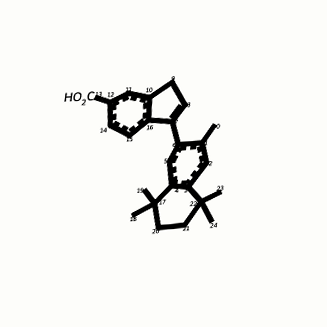 Cc1cc2c(cc1C1=CCc3cc(C(=O)O)ccc31)C(C)(C)CCC2(C)C